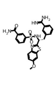 COc1ccc2nc([C@@H](Cc3cccc(C(=N)N)c3)NS(=O)(=O)c3cccc(C(N)=O)c3)sc2c1